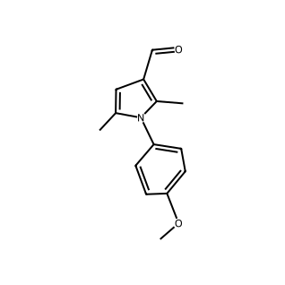 COc1ccc(-n2c(C)cc(C=O)c2C)cc1